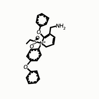 CCS(=O)(=O)[N+]1(c2ccc(Oc3ccccc3)cc2)CC=CC(CN)=C1Oc1ccccc1